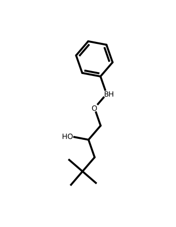 CC(C)(C)CC(O)COBc1ccccc1